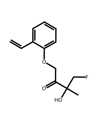 C=Cc1ccccc1OCC(=O)C(C)(O)CF